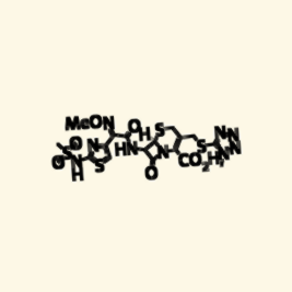 CO/N=C(/C(=O)NC1C(=O)N2C(C(=O)O)=C(CSc3nnnn3C)CS[C@H]12)c1csc(NS(C)(=O)=O)n1